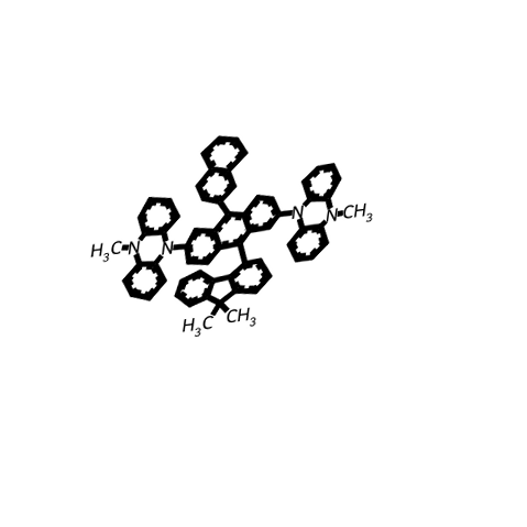 CN1c2ccccc2N(c2ccc3c(-c4cccc5c4-c4ccccc4C5(C)C)c4cc(N5c6ccccc6N(C)c6ccccc65)ccc4c(-c4ccc5ccccc5c4)c3c2)c2ccccc21